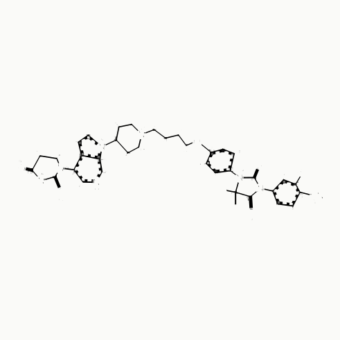 CC1(C)C(=O)N(c2ccc(C#N)c(C(F)(F)F)c2)C(=S)N1c1ccc(OCCCCN2CCC(n3ccc4c(N5CCC(=O)NC5=O)cncc43)CC2)cc1